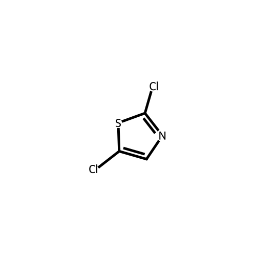 Clc1cnc(Cl)s1